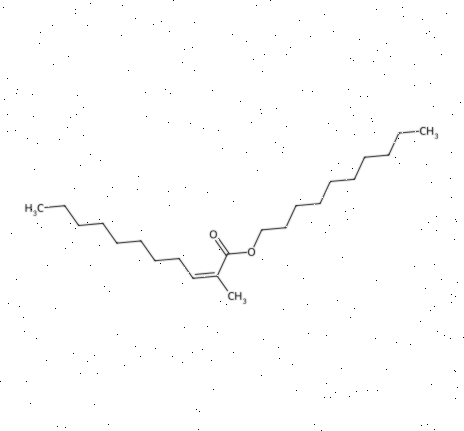 CCCCCCCCC=C(C)C(=O)OCCCCCCCCCC